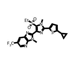 CCS(=O)(=O)c1c(-c2nc3cc(C(F)(F)F)cnc3n2C)nc(-c2ccc(C3CC3)s2)n1C